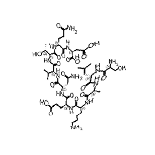 CC(C)C[C@H](NC(=O)[C@@H](N)CO)C(=O)N[C@@H](C)C(=O)N[C@@H](CCCCN)C(=O)N[C@@H](CCC(=O)O)C(=O)N[C@@H](CC(N)=O)C(=O)N[C@H](C(=O)N[C@H](C(=O)N[C@@H](CCC(N)=O)C(=O)N[C@@H](CC(=O)O)C(=O)O)[C@@H](C)O)C(C)C